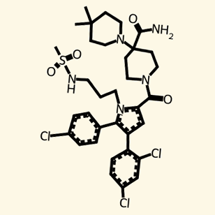 CC1(C)CCN(C2(C(N)=O)CCN(C(=O)c3cc(-c4ccc(Cl)cc4Cl)c(-c4ccc(Cl)cc4)n3CCCNS(C)(=O)=O)CC2)CC1